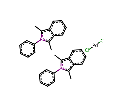 Cc1c2ccccc2c(C)p1-c1ccccc1.Cc1c2ccccc2c(C)p1-c1ccccc1.[Cl][Pd][Cl]